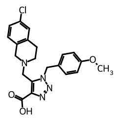 COc1ccc(Cn2nnc(C(=O)O)c2CN2CCc3cc(Cl)ccc3C2)cc1